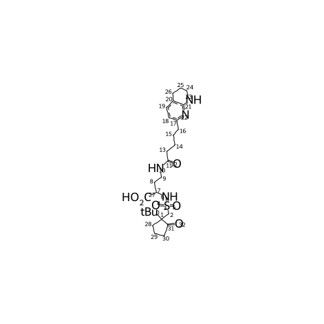 CC(C)(C)C1(CS(=O)(=O)NC(CCNC(=O)CCCCc2ccc3c(n2)NCCC3)C(=O)O)CCCC1=O